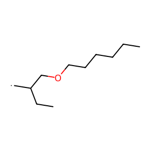 [CH2]C(CC)COCCCCCC